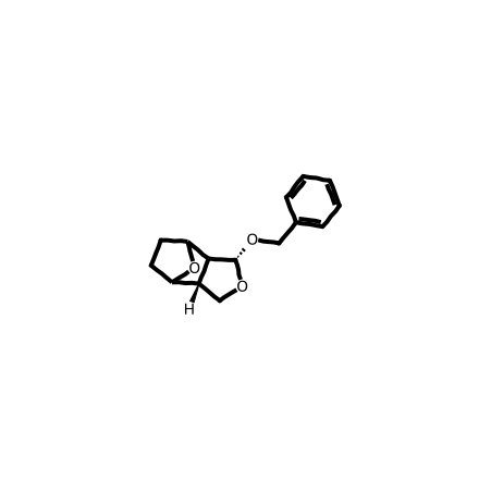 c1ccc(CO[C@@H]2OC[C@@H]3C4CCC(O4)C23)cc1